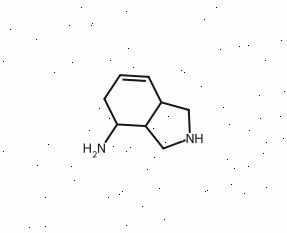 NC1CC=CC2CNCC12